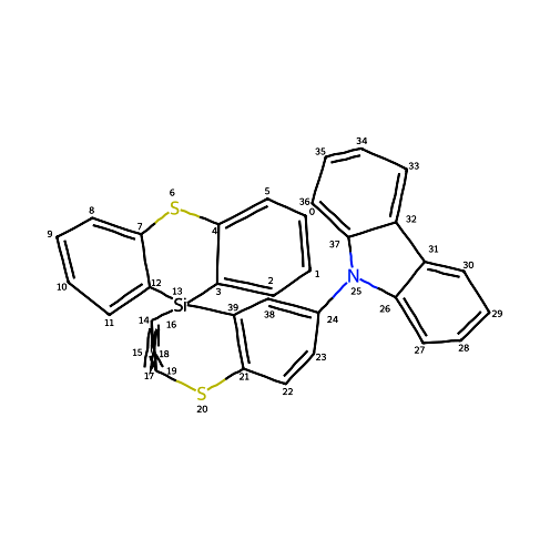 c1ccc2c(c1)Sc1ccccc1[Si]21c2ccccc2Sc2ccc(-n3c4ccccc4c4ccccc43)cc21